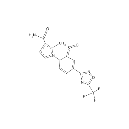 Cc1c(C(N)=O)ccn1C1C=CC(c2noc(C(F)(F)F)n2)=CC1=S=O